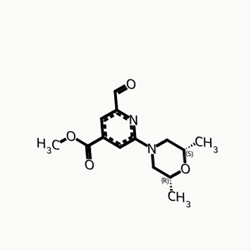 COC(=O)c1cc(C=O)nc(N2C[C@@H](C)O[C@@H](C)C2)c1